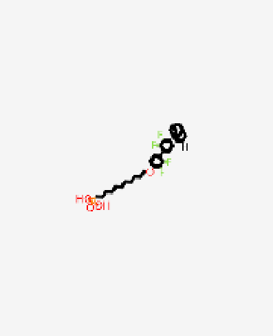 O=P(O)(O)CCCCCCCCCCCOc1ccc(-c2ccc([C@]34CC5CC(C[C@H](C5)C3)C4)c(F)c2F)c(F)c1F